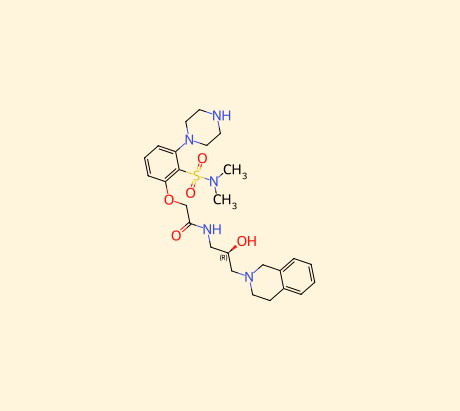 CN(C)S(=O)(=O)c1c(OCC(=O)NC[C@@H](O)CN2CCc3ccccc3C2)cccc1N1CCNCC1